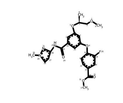 COC[C@H](C)Oc1cc(Oc2ccc(C(=O)OC)cc2F)cc(C(=O)Nc2ccn(C)n2)c1